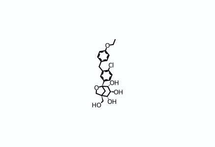 CCOc1ccc(Cc2cc([C@@]34C[C@@](CO)(CO3)[C@@H](O)[C@H](O)[C@H]4O)ccc2Cl)cc1